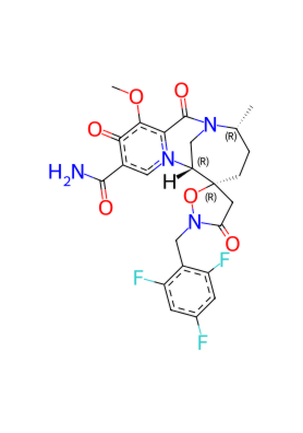 COc1c2n(cc(C(N)=O)c1=O)[C@@H]1CN(C2=O)[C@H](C)CC[C@@]12CC(=O)N(Cc1c(F)cc(F)cc1F)O2